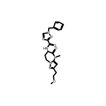 COCCc1cc2n(n1)CC[C@H](NC(=O)c1ncn(Cc3ccccc3)n1)C(=O)N2C